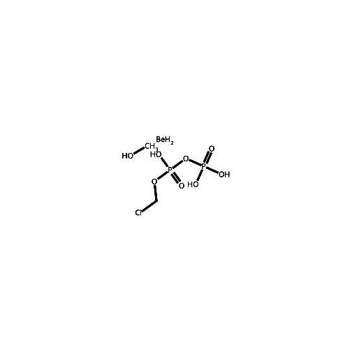 CO.O=P(O)(O)OP(=O)(O)OCCl.[BeH2]